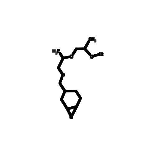 CCOC(C)COC(C)COCC1CCC2OC2C1